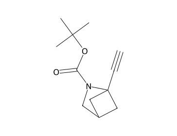 C#CC12CC(CN1C(=O)OC(C)(C)C)C2